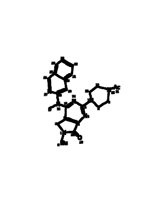 CCC(C)N1Cc2c(nc(N3CCN(C(C)=O)CC3)nc2N(C)c2cc3ccccc3cn2)C1=O